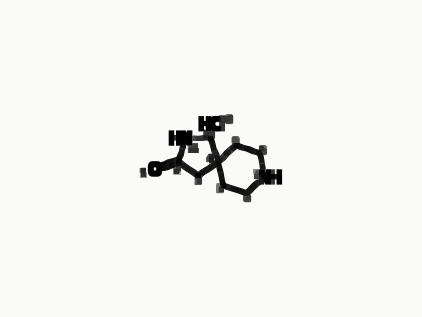 Cl.O=C1CC2(CCNCC2)CN1